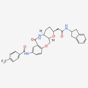 O=C(C[C@@H]1CC[C@@H]2NC(=O)c3cc(NC(=O)c4ccc(C(F)(F)F)cc4)ccc3OC[C@@H]2O1)NC1Cc2ccccc2C1